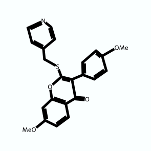 COc1ccc(-c2c(SCc3ccncc3)oc3cc(OC)ccc3c2=O)cc1